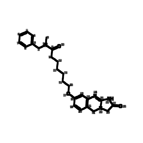 CN(Cc1ccccc1)C(=O)CCCCCCOc1ccc2c(c1)N=C1NC(=O)CN1C2